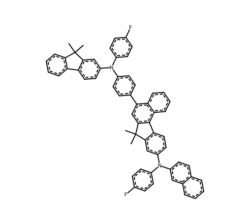 CC1(C)c2ccccc2-c2ccc(N(c3ccc(F)cc3)c3ccc(-c4cc5c(c6ccccc46)-c4ccc(N(c6ccc(F)cc6)c6ccc7ccccc7c6)cc4C5(C)C)cc3)cc21